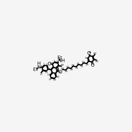 CCNC1=CC2Oc3cc(NCC)c(C)cc3C(c3ccccc3C(=O)OCCCCCCCCCCC3=CC(=O)C(C)=C(C)C3=O)=C2C=C1C